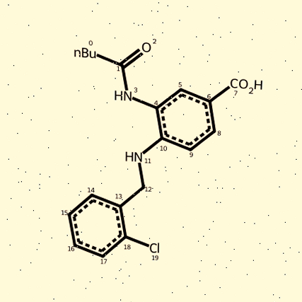 CCCCC(=O)Nc1cc(C(=O)O)ccc1NCc1ccccc1Cl